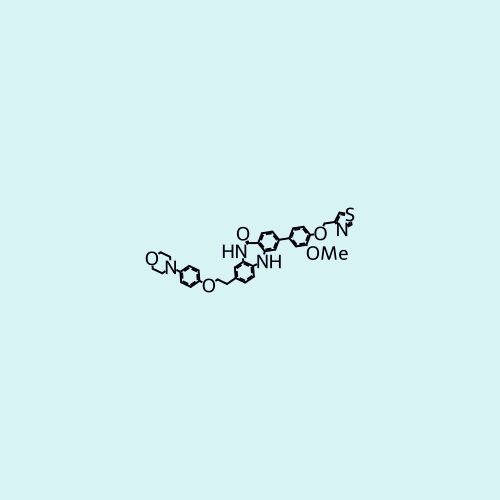 COc1cc(-c2ccc3c(c2)Nc2ccc(CCOc4ccc(N5CCOCC5)cc4)cc2NC3=O)ccc1OCc1cscn1